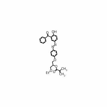 C=C(C)C(=O)OC(COCC)COc1ccc(N=Nc2ccc(O)c(C(=O)c3ccccc3)c2)cc1